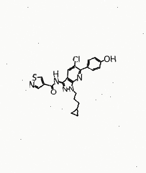 O=C(Nc1nn(CCCC2CC2)c2nc(-c3ccc(O)cc3)c(Cl)cc12)c1cnsc1